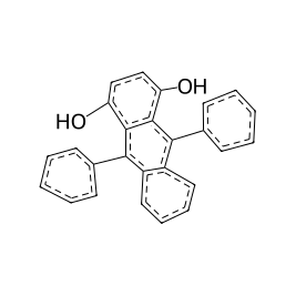 Oc1ccc(O)c2c(-c3ccccc3)c3ccccc3c(-c3ccccc3)c12